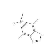 Cc1ccc(C)c2c1[CH]C=C2.[I][Zr][I]